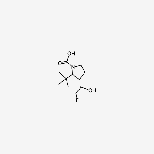 CC(C)(C)C1[C@@H](C(O)CF)CCN1C(=O)O